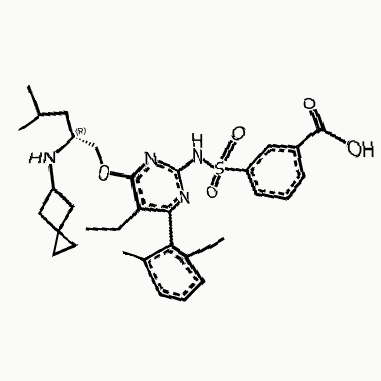 CCc1c(OC[C@@H](CC(C)C)NC2CC3(CC3)C2)nc(NS(=O)(=O)c2cccc(C(=O)O)c2)nc1-c1c(C)cccc1C